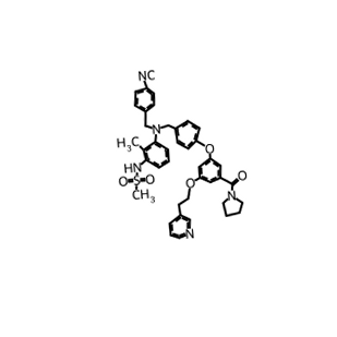 [C-]#[N+]c1ccc(CN(Cc2ccc(Oc3cc(OCCc4cccnc4)cc(C(=O)N4CCCC4)c3)cc2)c2cccc(NS(C)(=O)=O)c2C)cc1